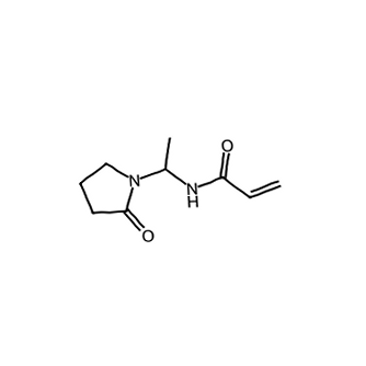 C=CC(=O)NC(C)N1CCCC1=O